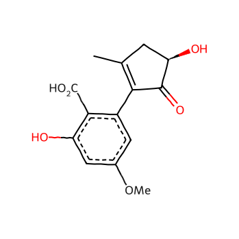 COc1cc(O)c(C(=O)O)c(C2=C(C)C[C@@H](O)C2=O)c1